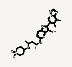 Cc1c(-c2[nH]c3ccc(N[C@H](C)CC(C)NC4CCS(=O)(=O)CC4)nc3c2C(C)C)cn2ncnc2c1C